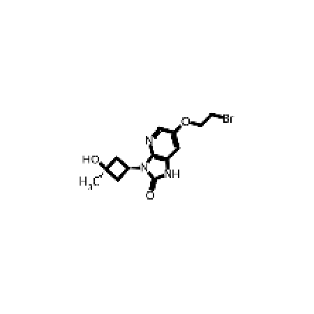 C[C@]1(O)C[C@@H](n2c(=O)[nH]c3cc(OCCBr)cnc32)C1